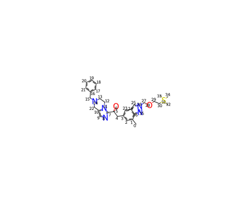 Cc1cc(CC(=O)c2ncc3n2CCN(Cc2ccccc2)C3)cc2cn(COCCS(C)(C)C)nc12